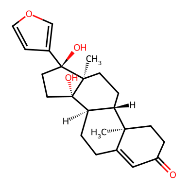 C[C@]12CC[C@H]3[C@@H](CCC4=CC(=O)CC[C@@]43C)[C@@]1(O)CC[C@]2(O)c1ccoc1